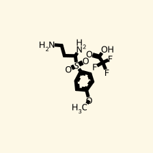 COc1ccc(S(=O)(=O)C(N)CCN)cc1.O=C(O)C(F)(F)F